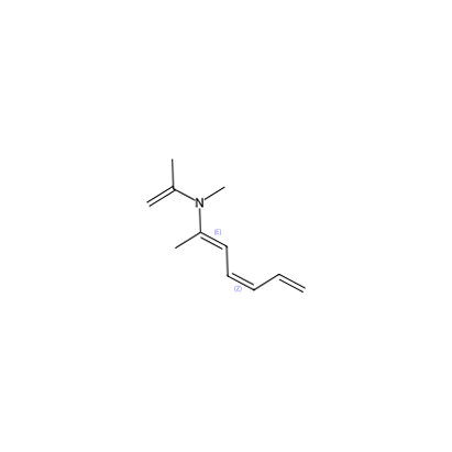 C=C/C=C\C=C(/C)N(C)C(=C)C